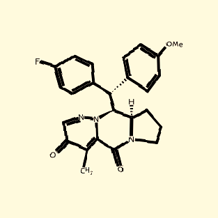 COc1ccc([C@@H](c2ccc(F)cc2)[C@H]2[C@H]3CCCN3C(=O)c3c(C)c(=O)cnn32)cc1